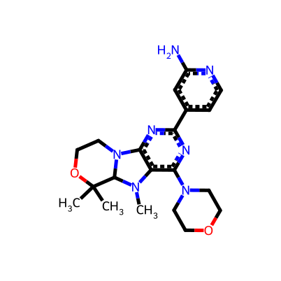 CN1c2c(N3CCOCC3)nc(-c3ccnc(N)c3)nc2N2CCOC(C)(C)C12